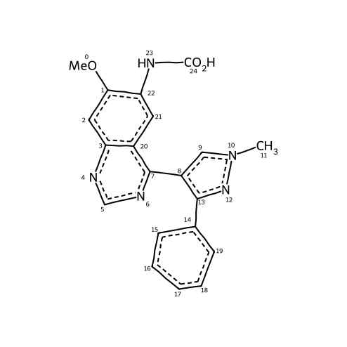 COc1cc2ncnc(-c3cn(C)nc3-c3ccccc3)c2cc1NC(=O)O